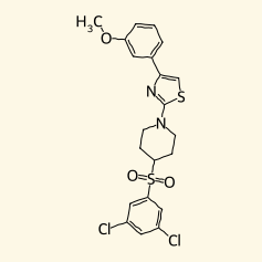 COc1cccc(-c2csc(N3CCC(S(=O)(=O)c4cc(Cl)cc(Cl)c4)CC3)n2)c1